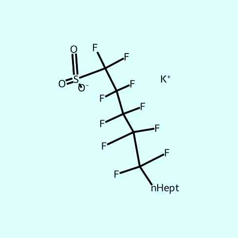 CCCCCCCC(F)(F)C(F)(F)C(F)(F)C(F)(F)C(F)(F)S(=O)(=O)[O-].[K+]